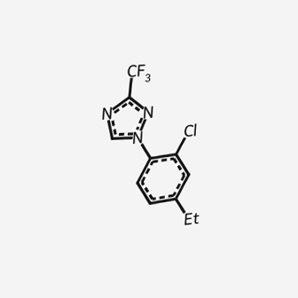 CCc1ccc(-n2cnc(C(F)(F)F)n2)c(Cl)c1